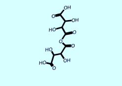 O=C(O)C(O)C(O)C(=O)OC(=O)C(O)C(O)C(=O)O